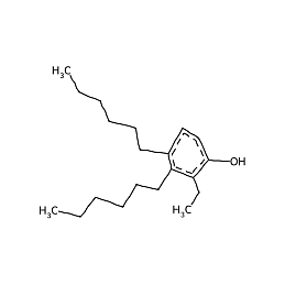 CCCCCCc1ccc(O)c(CC)c1CCCCCC